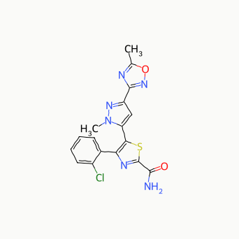 Cc1nc(-c2cc(-c3sc(C(N)=O)nc3-c3ccccc3Cl)n(C)n2)no1